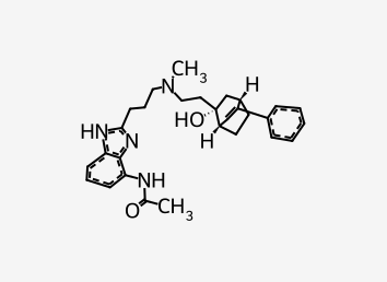 CC(=O)Nc1cccc2[nH]c(CCCN(C)CC[C@@]3(O)C[C@@H]4CC[C@H]3C=C4c3ccccc3)nc12